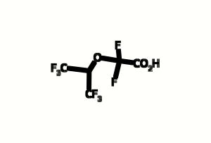 O=C(O)C(F)(F)OC(C(F)(F)F)C(F)(F)F